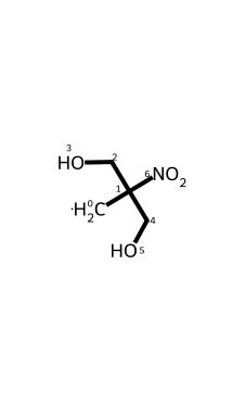 [CH2]C(CO)(CO)[N+](=O)[O-]